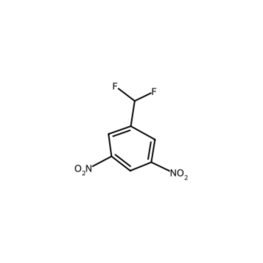 O=[N+]([O-])c1cc(C(F)F)cc([N+](=O)[O-])c1